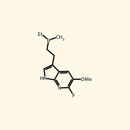 CCN(C)CCc1c[nH]c2nc(F)c(OC)cc12